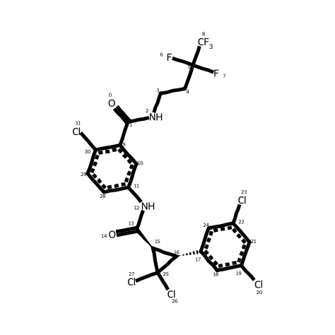 O=C(NCCC(F)(F)C(F)(F)F)c1cc(NC(=O)[C@H]2[C@H](c3cc(Cl)cc(Cl)c3)C2(Cl)Cl)ccc1Cl